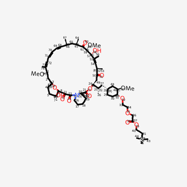 CO[C@H]1C[C@@H]2CC[C@@H](C)[C@@](O)(O2)C(=O)C(=O)N2CCCC[C@H]2C(=O)O[C@H]([C@@H](C)C[C@H]2CC[C@@H](OCCOCC(=O)OCC[Si](C)(C)C)[C@H](OC)C2)CC(=O)[C@H](C)C=C(C)[C@@H](O)[C@@H](OC)C(=O)[C@H](C)C[C@H](C)C=CC=CC=C1C